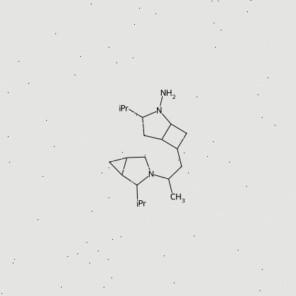 CC(C)C1CC2C(CC(C)N3CC4CC4C3C(C)C)CC2N1N